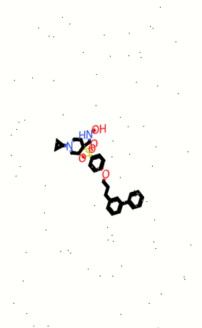 O=C(NO)C1(S(=O)(=O)c2ccc(OCCCc3cccc(-c4ccccc4)c3)cc2)CCN(C2CC2)CC1